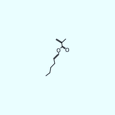 C=C(C)C(=O)O/C=C/CCCC